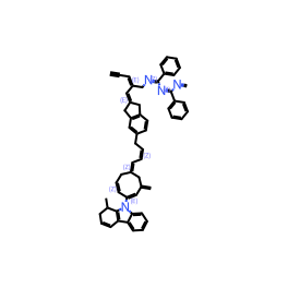 C#C/C=C(\C=C1/Cc2ccc(C/C=C\C=C3\C/C=C\C(n4c5c(c6ccccc64)C=CCC5C)=C/C(=C)C3)cc2C1)C/N=C(\N=C(/N=C)c1ccccc1)c1ccccc1